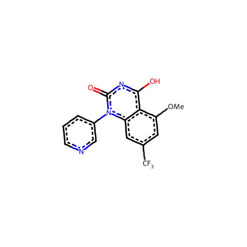 COc1cc(C(F)(F)F)cc2c1c(O)nc(=O)n2-c1cccnc1